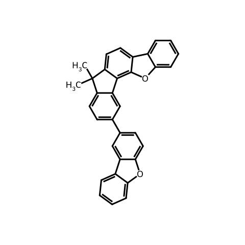 CC1(C)c2ccc(-c3ccc4oc5ccccc5c4c3)cc2-c2c1ccc1c2oc2ccccc21